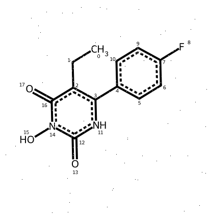 CCc1c(-c2ccc(F)cc2)[nH]c(=O)n(O)c1=O